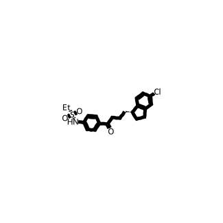 CCS(=O)(=O)Nc1ccc(C(=O)CCC[C@H]2CCc3cc(Cl)ccc32)cc1